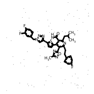 Cc1noc(-c2c(CCc3ccc(F)cc3)nc(CC(C)C)c(C(N)=O)c2-c2ccc(-c3cn(Cc4ccc(F)c(F)c4)nn3)s2)n1